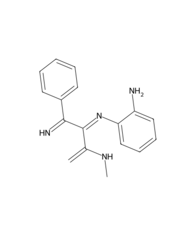 C=C(NC)/C(=N\c1ccccc1N)C(=N)c1ccccc1